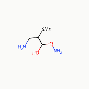 CSC(CN)C(O)ON